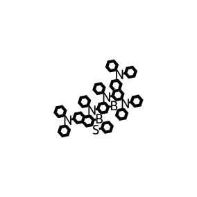 c1ccc(N(c2ccccc2)c2ccc3c4c5c(cc3c2)Sc2ccccc2B5c2cc3c(cc2N4c2ccccc2)N(c2ccccc2)c2c4c(cc5cc(N(c6ccccc6)c6ccccc6)ccc25)N(c2ccccc2)c2ccccc2B34)cc1